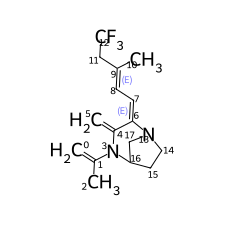 C=C(C)N1C(=C)/C(=C\C=C(/C)CC(F)(F)F)N2CCC1C2